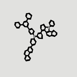 c1ccc(-c2cc(-c3ccccc3)cc(-c3ccc(N(c4ccc(-c5ccc6c(ccc7ccccc76)c5)cc4)c4cccc(-c5cccc6c5c5ccc7ccccc7c5n6-c5ccccc5)c4)cc3)c2)cc1